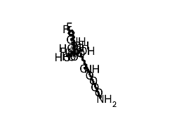 NCCOCCOCCOCCOCCNC(=O)CCCCCCO[C@]1(C(=O)O)C[C@H](O)[C@@H](NC(=O)CO)[C@H]([C@H](O)[C@H](O)CNC(=O)Cc2ccc(C(F)F)cc2)O1